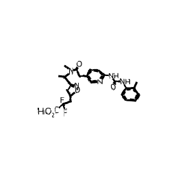 Cc1ccccc1NC(=O)Nc1ccc(CC(=O)N(C)C(C)C2=NOC(CC(F)(F)C(=O)O)C2)cn1